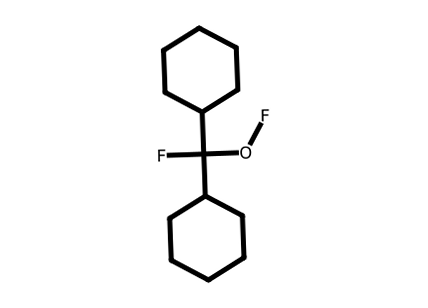 FOC(F)(C1CCCCC1)C1CCCCC1